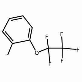 [CH]c1ccccc1OC(F)(F)C(F)(F)F